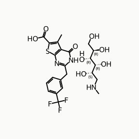 CNC[C@H](O)[C@@H](O)[C@H](O)[C@H](O)CO.Cc1c(C(=O)O)sc2nc(Cc3cccc(C(F)(F)F)c3)[nH]c(=O)c12